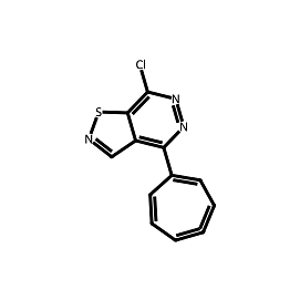 Clc1nnc(C2=CC=C=CC=C2)c2cnsc12